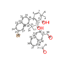 CC(C)=O.CC1(C)C=CC2=C([C@H]1O)[C@H](O)C(C)(C)c1c2ccc2ccc(Br)cc12.O=Cc1ccc2ccccc2c1